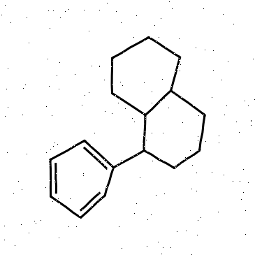 c1ccc(C2CCCC3CCCCC32)cc1